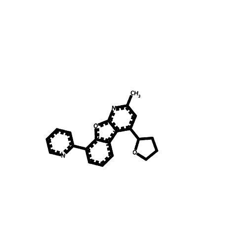 Cc1cc(C2CCCO2)c2c(n1)oc1c(-c3ccccn3)cccc12